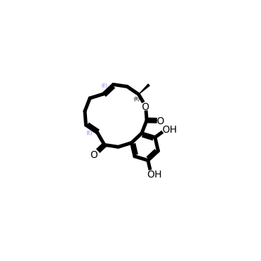 C[C@@H]1C/C=C/CC/C=C/C(=O)Cc2cc(O)cc(O)c2C(=O)O1